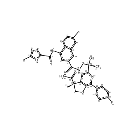 Cc1cnc2c(NC(=O)c3cnc(C)o3)cc(C(=O)NC[C@](O)(c3cc4c(c(-c5ccc(F)cc5)n3)OC[C@]4(C)C(N)=O)C(F)(F)F)cc2c1